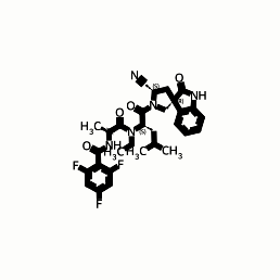 CCN(C(=O)[C@H](C)NC(=O)c1c(F)cc(F)cc1F)[C@@H](CC(C)C)C(=O)N1C[C@]2(C[C@H]1C#N)C(=O)Nc1ccccc12